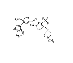 Cc1ccc(C(=O)Nc2ccc(CN3CCN(C)CC3)c(C(F)(F)F)c2)cc1-c1cnc2cnccn12